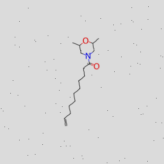 C=CCCCCCCCCC(=O)N1CC(C)OC(C)C1